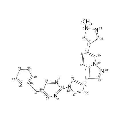 Cn1cc(-c2ccc3c(-c4ccn(-c5ncc(Cc6ccccc6)cn5)c4)cnn3c2)cn1